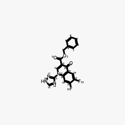 O=C(OCc1ccccc1)c1cn(-c2nc[nH]n2)c2cc(F)c(F)cc2c1=O